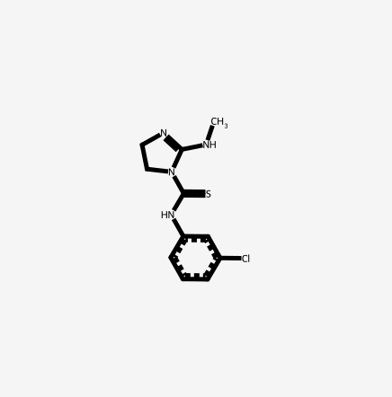 CNC1=NCCN1C(=S)Nc1cccc(Cl)c1